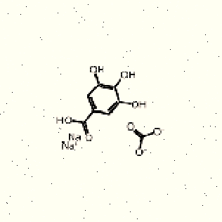 O=C(O)c1cc(O)c(O)c(O)c1.O=C([O-])[O-].[Na+].[Na+]